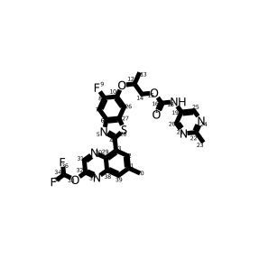 Cc1cc(-c2nc3cc(F)c(OC(C)COC(=O)Nc4cnc(C)nc4)cc3s2)c2ncc(OC(F)F)nc2c1